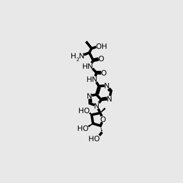 CC(O)C(N)C(=O)NC(=O)Nc1ncnc2c1ncn2[C@]1(C)O[C@H](CO)[C@@H](O)[C@H]1O